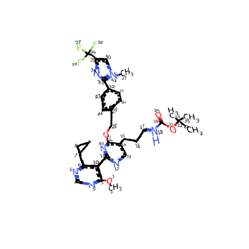 COc1ncnc(C2CC2)c1-c1ncc(CCCNC(=O)OC(C)(C)C)c(OCc2ccc(-c3nc(C(F)(F)F)cn3C)cc2)n1